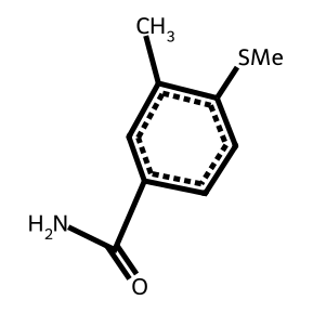 CSc1ccc(C(N)=O)cc1C